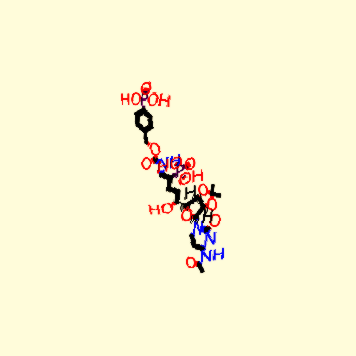 CC(=O)Nc1ccn([C@@H]2O[C@H](C(O)CCC(CNC(=O)OCc3ccc(P(=O)(O)O)cc3)P(=O)(O)O)[C@H]3OC(C)(C)O[C@H]32)c(=O)n1